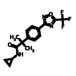 CC(C)(C(=O)NC1CC1)c1ccc(-c2noc(C(F)(F)F)n2)cc1